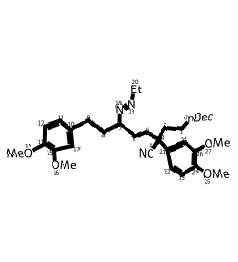 CCCCCCCCCCCCC(C#N)(CCC(CCc1ccc(OC)c(OC)c1)N=NCC)c1ccc(OC)c(OC)c1